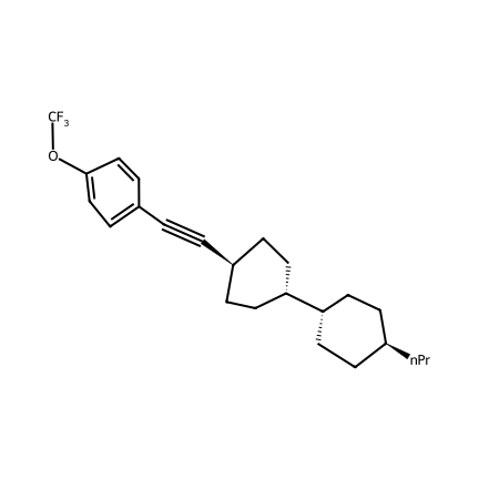 CCC[C@H]1CC[C@H]([C@H]2CC[C@H](C#Cc3ccc(OC(F)(F)F)cc3)CC2)CC1